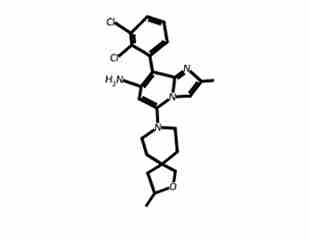 Cc1cn2c(N3CCC4(CC3)COC(C)C4)cc(N)c(-c3cccc(Cl)c3Cl)c2n1